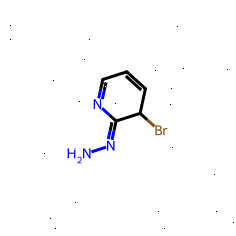 NN=C1N=CC=CC1Br